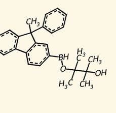 CC1(c2ccccc2)c2ccccc2-c2ccc(BOC(C)(C)C(C)(C)O)cc21